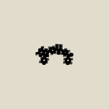 CCOc1c(C(C)=O)nc(-c2ccc(NC(=O)Nc3ccc(C(=O)N4CCOCC4)cc3)cc2)nc1N1CCOCC1